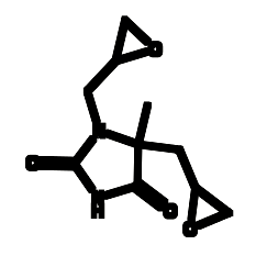 CC1(CC2CO2)C(=O)NC(=O)N1CC1CO1